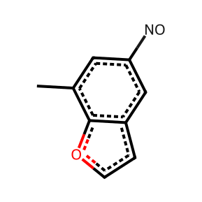 Cc1cc(N=O)cc2ccoc12